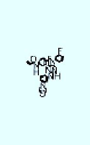 C=CC(=O)NC1CCC(F)[C@@H](c2nc(Nc3cccc(N4CCOCC4)c3)ncc2Nc2cccc(F)c2)C1